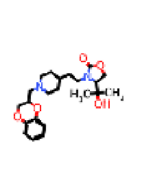 CC(C)(O)C1COC(=O)N1CCC1CCN(CC2COc3ccccc3O2)CC1